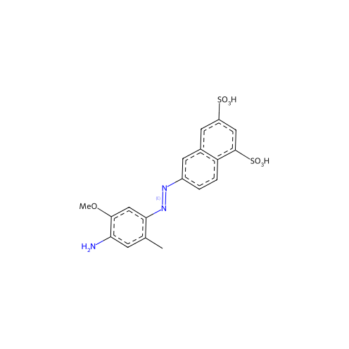 COc1cc(/N=N/c2ccc3c(S(=O)(=O)O)cc(S(=O)(=O)O)cc3c2)c(C)cc1N